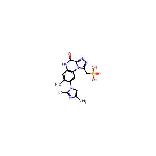 CCc1nc(C)cn1-c1cc2c(cc1C(F)(F)F)[nH]c(=O)c1nnc(CP(=O)(O)O)n12